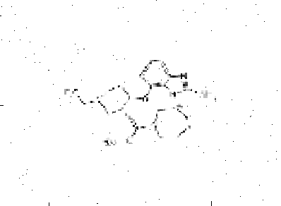 CC(C)(C)OC(=O)N1CCCC[C@@H](n2c(N)nc3cccc(OC4CCN(CC(F)(F)F)CC4)c32)C1